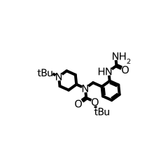 CC(C)(C)OC(=O)N(Cc1ccccc1NC(N)=O)C1CCN(C(C)(C)C)CC1